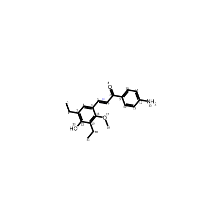 CCc1cc(/C=C/C(=O)c2ccc(N)cc2)c(OC)c(CC)c1O